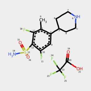 Cc1c(C2CCNCC2)cc(F)c(S(N)(=O)=O)c1F.O=C(O)C(F)(F)F